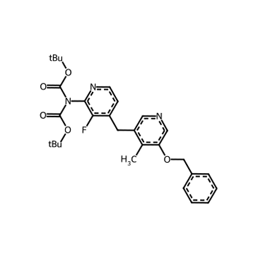 Cc1c(Cc2ccnc(N(C(=O)OC(C)(C)C)C(=O)OC(C)(C)C)c2F)cncc1OCc1ccccc1